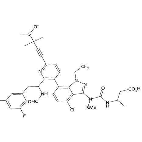 CSN(C(=O)NC(C)CC(=O)O)c1nn(CC(F)(F)F)c2c(-c3ccc(C#CC(C)(C)[S+](C)[O-])nc3C(Cc3cc(F)cc(F)c3)NC=O)ccc(Cl)c12